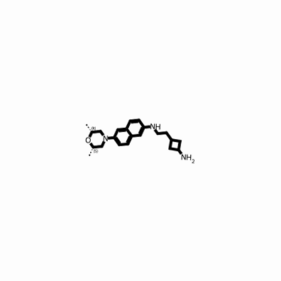 C[C@@H]1CN(c2ccc3cc(NCCC4CC(N)C4)ccc3c2)C[C@H](C)O1